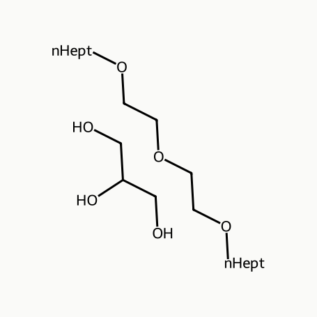 CCCCCCCOCCOCCOCCCCCCC.OCC(O)CO